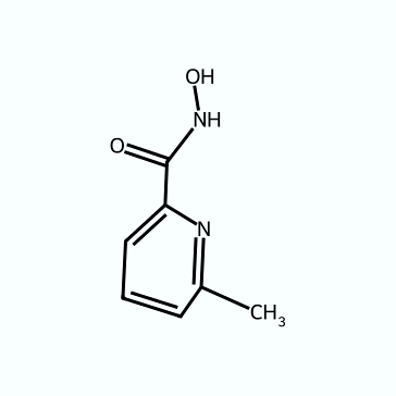 Cc1cccc(C(=O)NO)n1